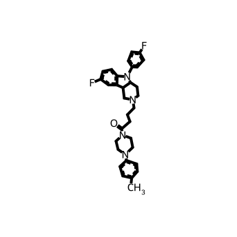 Cc1ccc(N2CCN(C(=O)CCCN3CCC4C(C3)c3cc(F)ccc3N4c3ccc(F)cc3)CC2)cc1